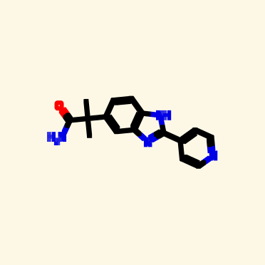 CC(C)(C(N)=O)c1ccc2[nH]c(-c3ccncc3)nc2c1